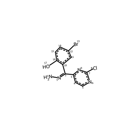 NN=C(c1ccnc(Cl)n1)c1cc(Br)ccc1O